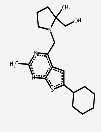 Cc1nc(CN2CCCC2(C)CO)c2cc(C3CCCCC3)sc2n1